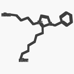 CCCCCCCCCCCCCCCCc1n(Cc2ccccc2)cc[n+]1CCCCCCCCCCCCCC